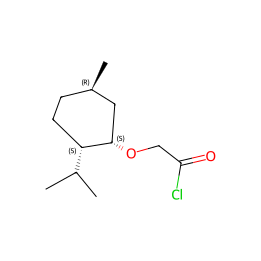 CC(C)[C@@H]1CC[C@@H](C)C[C@@H]1OCC(=O)Cl